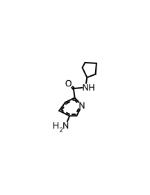 Nc1ccc(C(=O)NC2CCCC2)nc1